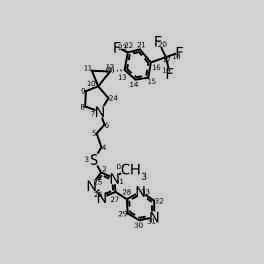 Cn1c(SCCCN2CCC3(C[C@@H]3c3ccc(C(F)(F)F)cc3F)C2)nnc1-c1ccncn1